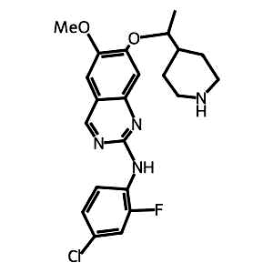 COc1cc2cnc(Nc3ccc(Cl)cc3F)nc2cc1OC(C)C1CCNCC1